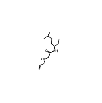 C=CCPCC(=O)NC(CC)CCC(C)C